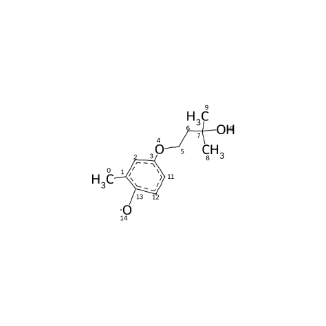 Cc1cc(OCCC(C)(C)O)ccc1[O]